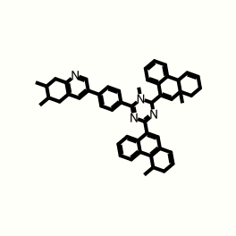 CC1CC=Cc2cc(C3=NC(C4=CC5(C)CCC=CC5c5ccccc54)N(C)C(c4ccc(-c5cnc6c(c5)CC(C)C(C)C6)cc4)=N3)c3ccccc3c21